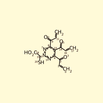 C=CC(=O)c1nnnc(C(=O)C=C)c1C(=O)C=C.O=C(O)CS